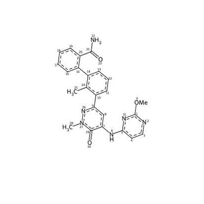 COc1nccc(Nc2cc(-c3cccc(-c4ccccc4C(N)=O)c3C)nn(C)c2=O)n1